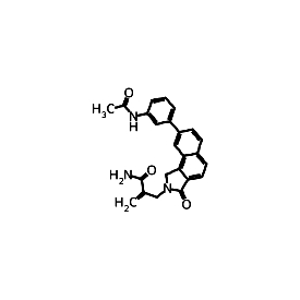 C=C(CN1Cc2c(ccc3ccc(-c4cccc(NC(C)=O)c4)cc23)C1=O)C(N)=O